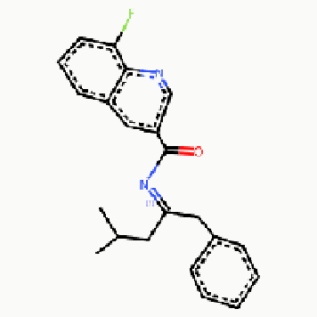 CC(C)C/C(Cc1ccccc1)=N/C(=O)c1cnc2c(F)cccc2c1